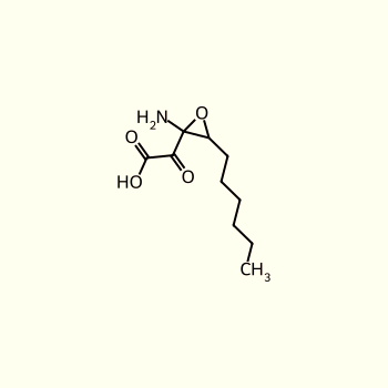 CCCCCCC1OC1(N)C(=O)C(=O)O